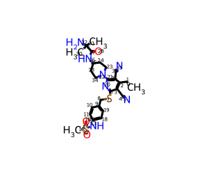 CCc1c(C#N)c(SCc2ccc(NS(C)(=O)=O)cc2)nc(N2CCC(NC(=O)C(C)(C)N)CC2)c1C#N